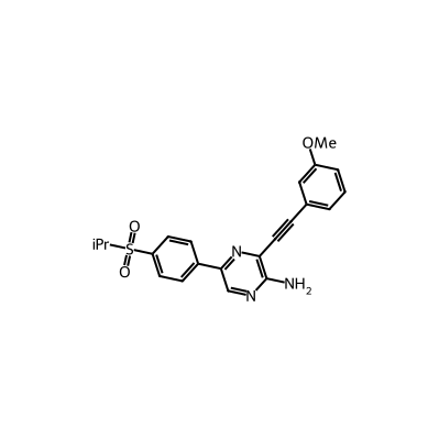 COc1cccc(C#Cc2nc(-c3ccc(S(=O)(=O)C(C)C)cc3)cnc2N)c1